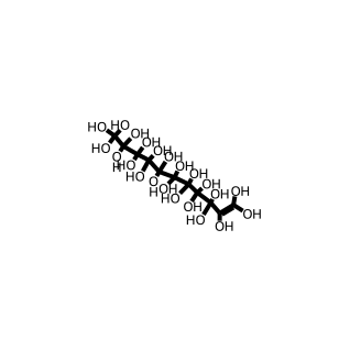 OC(O)=C(O)C(O)(O)C(O)(O)C(O)(O)C(O)(O)C(O)(O)C(O)(O)C(O)(O)C(O)(O)C(O)(O)O